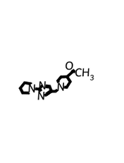 CC(=O)C1CCN(Cc2cnc(N3CCCCC3)nc2)CC1